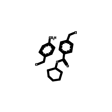 O=C(O)c1ccc(CCl)cc1.O=C(OC1CCCCC1)c1ccc(CCl)cc1